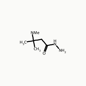 CNC(C)(C)CC(=O)NN